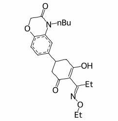 CCCCN1C(=O)COc2ccc(C3CC(=O)C(C(CC)=NOCC)=C(O)C3)cc21